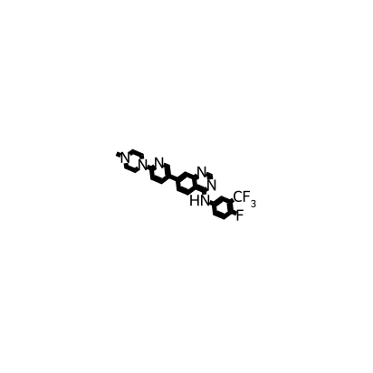 CN1CCN(c2ccc(-c3ccc4c(Nc5ccc(F)c(C(F)(F)F)c5)ncnc4c3)cn2)CC1